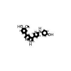 COc1cc(-c2cnc3[nH]cc(-c4ccc(N[C@H]5CC[C@H](O)CC5)nc4)c3c2)ccc1O